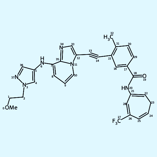 COCCn1cc(Nc2cccn3c(C#Cc4cc(C(=O)NC5=CCC=CC(C(F)(F)F)=C5)ccc4C)cnc23)cn1